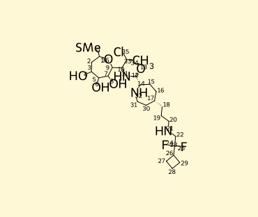 CSC1CC(O)C(O)C(O)C([C@H](NC(=O)[C@@H]2CC[C@H](CCCNCC(F)(F)C3CCC3)CCN2)[C@H](C)Cl)O1